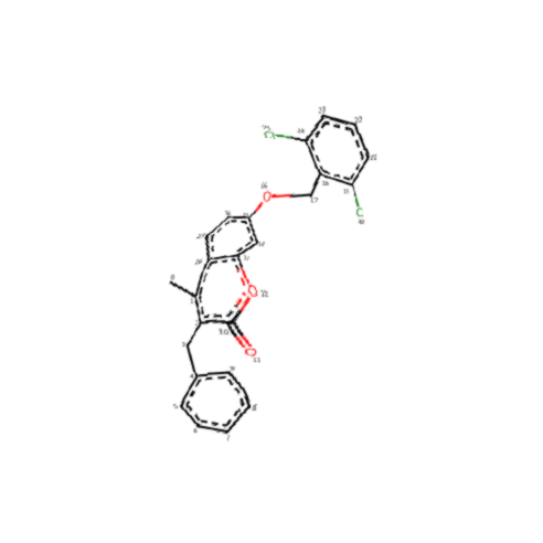 Cc1c(Cc2ccccc2)c(=O)oc2cc(OCc3c(Cl)cccc3Cl)ccc12